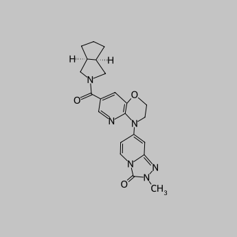 Cn1nc2cc(N3CCOc4cc(C(=O)N5C[C@H]6CCC[C@H]6C5)cnc43)ccn2c1=O